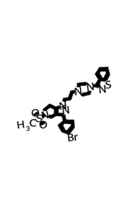 CS(=O)(=O)N1CCc2c(c(-c3ccc(Br)cc3)nn2CCCN2CCN(c3nsc4ccccc34)CC2)C1